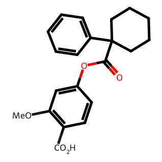 COc1cc(OC(=O)C2(c3ccccc3)CCCCC2)ccc1C(=O)O